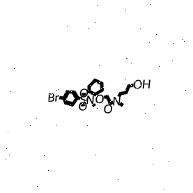 CN(CCCO)C(=O)COC1(N(C)S(=O)(=O)c2ccc(Br)cc2)CCCCC1